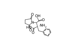 N[C@](Cc1ccccc1)(C(=O)O)C(C(=O)O)N1C(=O)CCC1=O